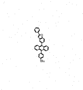 CC(C)(C)c1ccc(-c2c3ccccc3c(-c3ccc4oc(-c5ccccc5)cc4c3)c3ccccc23)cc1